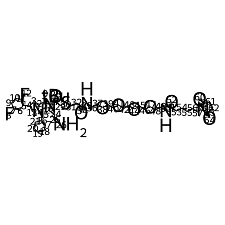 CC(C)(C)C(c1cc(-c2cc(F)ccc2F)cn1Cc1ccccc1)N(CCCN)C(=O)CSCCC(=O)NCCOCCOCCOCCOCCNC(=O)CCCCCN1C(=O)C=CC1=O